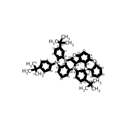 CC(C)(C)c1ccc(N2c3ccc(C(C)(C)C)cc3B3c4oc5ccc6c(c5c4N(c4ccc(C(C)(C)C)cc4)c4cccc2c43)Oc2ccccc2O6)cc1